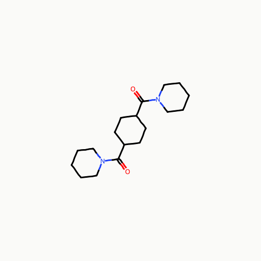 O=C(C1CCC(C(=O)N2CCCCC2)CC1)N1CCCCC1